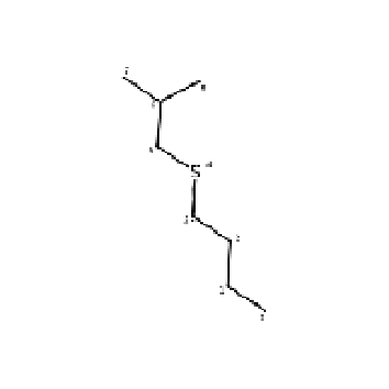 CCC[CH]SCC(C)C